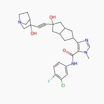 Cn1cnc(C2CC3CC(O)(C#CC4(O)CN5CCC4C5)CC3C2)c1C(=O)Nc1ccc(F)c(Cl)c1